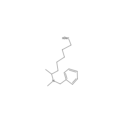 CCCCCCCCCCCCCCCC(C)N(C)Cc1ccccc1